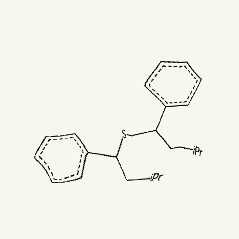 CC(C)CC(SC(CC(C)C)c1ccccc1)c1ccccc1